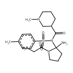 CCC(=O)N1CCCC1(N)N(C(=O)C1CCCN(C)C1)S(=O)(=O)c1ccc(C)cc1